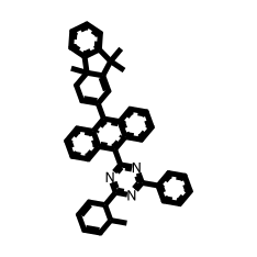 CC1C=CC=CC1c1nc(-c2ccccc2)nc(-c2c3ccccc3c(C3=CCC4(C)C(=C3)C(C)(C)c3ccccc34)c3ccccc23)n1